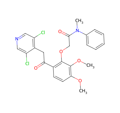 COc1ccc(C(=O)Cc2c(Cl)cncc2Cl)c(OCC(=O)N(C)c2ccccc2)c1OC